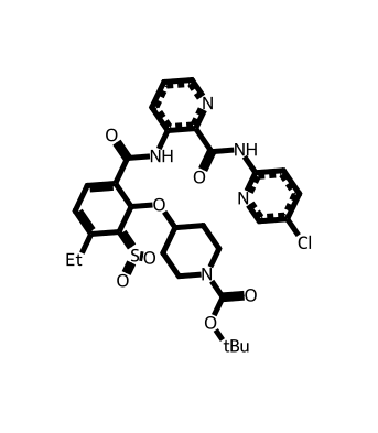 CCC1=CC=C(C(=O)Nc2cccnc2C(=O)Nc2ccc(Cl)cn2)C(OC2CCN(C(=O)OC(C)(C)C)CC2)C1=S(=O)=O